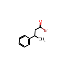 CC(CC(=O)Br)c1ccccc1